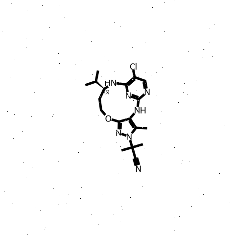 Cc1c2c(nn1C(C)(C)C#N)OCC[C@@H](C(C)C)Nc1nc(ncc1Cl)N2